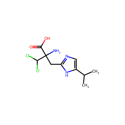 CC(C)c1cnc(CC(N)(C(=O)O)C(Cl)Cl)[nH]1